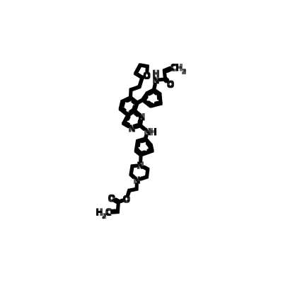 C=CC(=O)Nc1cccc(-c2c(CCC3CCCO3)ccc3cnc(Nc4ccc(N5CCN(CCOC(=O)C=C)CC5)cc4)nc23)c1